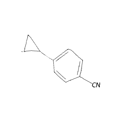 N#Cc1ccc(C2[CH]C2)cc1